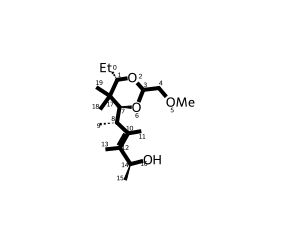 CC[C@@H]1OC(COC)O[C@@H]([C@@H](C)/C(C)=C(\C)[C@H](C)O)C1(C)C